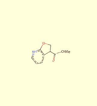 COC(=O)C1COc2ncccc21